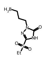 BCCCn1nc(S(=O)(=O)CC)[nH]c1=O